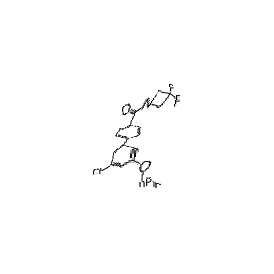 CCCOc1cc(Cl)cc(-c2ccc(C(=O)N3CC(F)(F)C3)cc2)c1